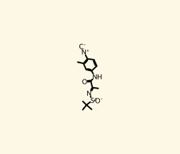 [C-]#[N+]c1ccc(NC(=O)/C(C)=N/[S+]([O-])C(C)(C)C)cc1C